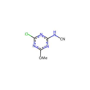 COc1nc(Cl)nc(NC#N)n1